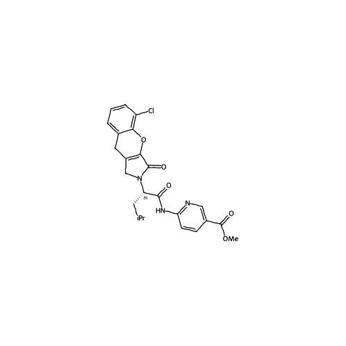 COC(=O)c1ccc(NC(=O)[C@H](CC(C)C)N2CC3=C(Oc4c(Cl)cccc4C3)C2=O)nc1